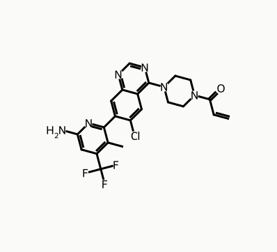 C=CC(=O)N1CCN(c2ncnc3cc(-c4nc(N)cc(C(F)(F)F)c4C)c(Cl)cc23)CC1